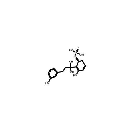 O=P(O)(O)N=C1CC=CC(O)=C1C(O)(O)CCc1cccc(O)c1